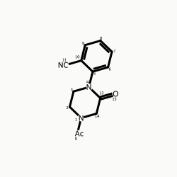 CC(=O)N1CCN(c2ccccc2C#N)C(=O)C1